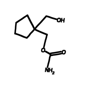 NC(=O)OCC1(CO)CCCC1